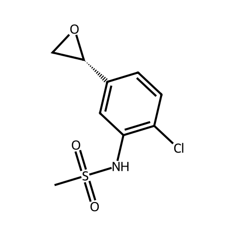 CS(=O)(=O)Nc1cc([C@@H]2CO2)ccc1Cl